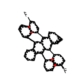 Fc1ccc(-c2c3ccccc3c(-c3ccc(F)cc3)c3c(-c4ccccc4)c4ccccc4c(-c4ccccc4)c23)cc1